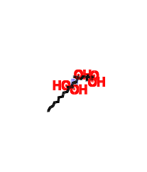 CCCCCCCCCC(O)C(O)/C=C/C(C)(O)CCC(C)(C)C(=O)O